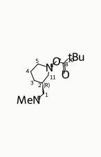 CNC[C@H]1CCCN(OC(=O)C(C)(C)C)C1